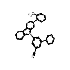 Cc1ccccc1-c1ccc2c3ccccc3n(-c3cc(C#N)cc(-c4ccncc4)c3)c2c1